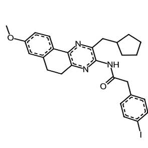 COc1ccc2c(c1)CCc1nc(NC(=O)Cc3ccc(I)cc3)c(CC3CCCC3)nc1-2